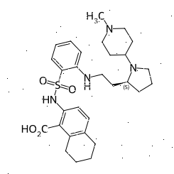 CN1CCC(N2CCC[C@H]2CCNc2ccccc2S(=O)(=O)Nc2ccc3c(c2C(=O)O)CCCC3)CC1